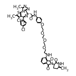 C=C1CCC(N2C(=O)c3cccc(NCCOCCOCCOCCOc4ccc(NC(=O)C[C@@H]5N=C(c6ccc(Cl)cc6)c6c(sc(C)c6C)-n6c(C)nnc65)cc4)c3C2=O)C(=O)N1